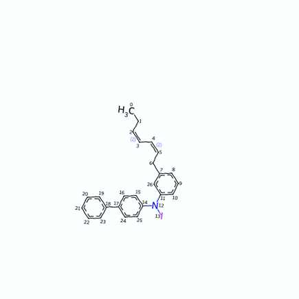 CC/C=C\C=C/Cc1cccc(N(I)c2ccc(-c3ccccc3)cc2)c1